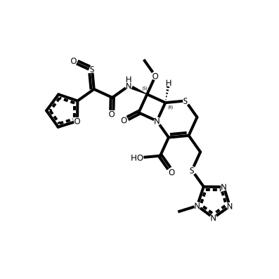 CO[C@@]1(NC(=O)C(=S=O)c2ccco2)C(=O)N2C(C(=O)O)=C(CSc3nnnn3C)CS[C@@H]21